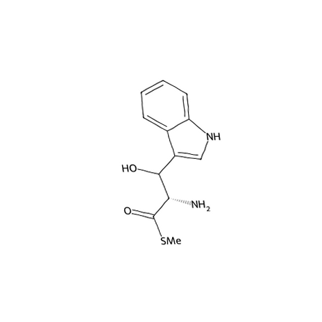 CSC(=O)[C@@H](N)C(O)c1c[nH]c2ccccc12